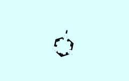 C[n+]1cncnc1